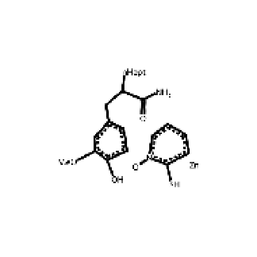 CCCCCCCC(Cc1ccc(O)c(OC)c1)C(N)=O.[O-][n+]1ccccc1S.[Zn]